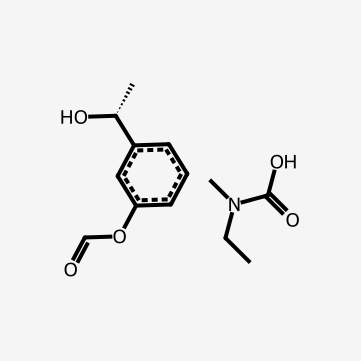 CCN(C)C(=O)O.C[C@@H](O)c1cccc(OC=O)c1